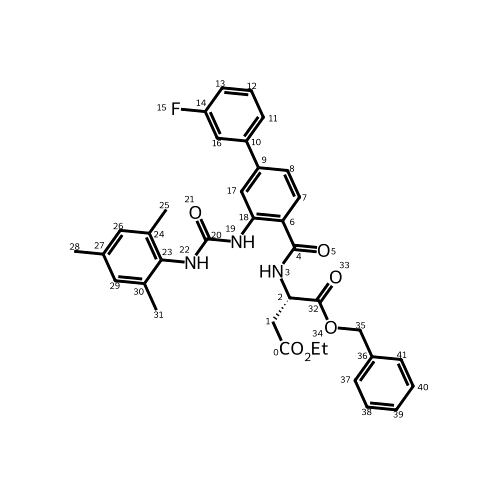 CCOC(=O)C[C@H](NC(=O)c1ccc(-c2cccc(F)c2)cc1NC(=O)Nc1c(C)cc(C)cc1C)C(=O)OCc1ccccc1